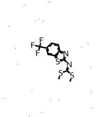 CSC(=Nc1nc2ccc(C(F)(F)F)cc2s1)SC